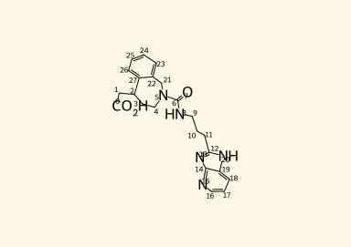 O=C(O)CC1CCN(C(=O)NCCCc2nc3ncccc3[nH]2)Cc2ccccc21